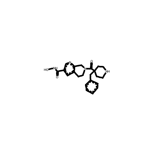 O=C(NO)c1cnc2c(c1)CCN(C(=O)C1(Cc3ccccc3)CCNCC1)C2